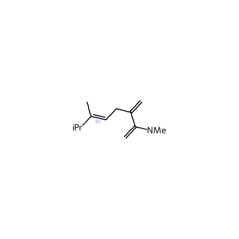 C=C(C/C=C(\C)C(C)C)C(=C)NC